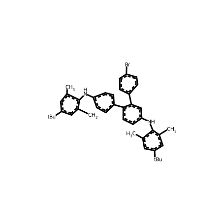 Cc1cc(C(C)(C)C)cc(C)c1Nc1ccc(-c2ccc(Nc3c(C)cc(C(C)(C)C)cc3C)cc2-c2ccc(Br)cc2)cc1